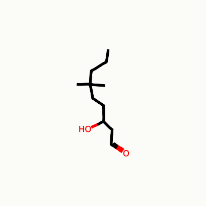 CCCC(C)(C)CCC(O)CC=O